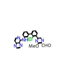 COc1nc(-c2cccc(-c3cccc(Nc4nccc5nccnc45)c3Cl)c2Cl)cnc1C=O